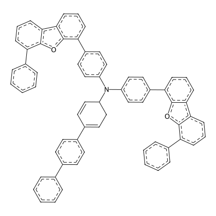 C1=CC(N(c2ccc(-c3cccc4c3oc3c(-c5ccccc5)cccc34)cc2)c2ccc(-c3cccc4c3oc3c(-c5ccccc5)cccc34)cc2)CC=C1c1ccc(-c2ccccc2)cc1